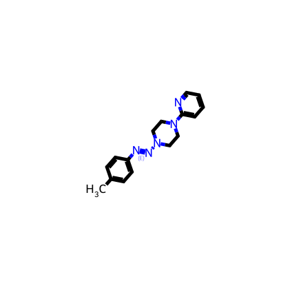 Cc1ccc(/N=N/N2CCN(c3ccccn3)CC2)cc1